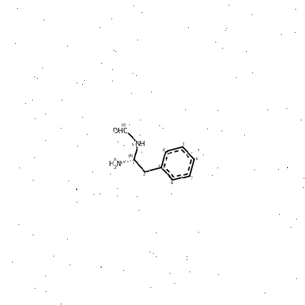 N[C@@H](Cc1ccccc1)NC=O